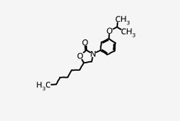 CCCCCCC1CN(c2cccc(OC(C)C)c2)C(=O)O1